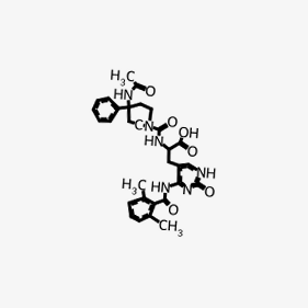 CC(=O)NC1(c2ccccc2)CCN(C(=O)NC(Cc2c[nH]c(=O)nc2NC(=O)c2c(C)cccc2C)C(=O)O)CC1